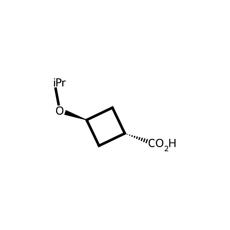 CC(C)O[C@H]1C[C@H](C(=O)O)C1